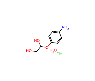 Cl.Nc1ccc(OC(O)CO)cc1.O